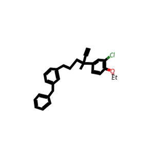 C#CC(C)(CCCc1cccc(Cc2ccccc2)c1)c1ccc(OCC)c(Cl)c1